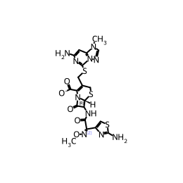 CO/N=C(\C(=O)NC1C(=O)N2C(C(=O)[O-])=C(CSc3nc(N)cc4n(C)cn[n+]34)CS[C@H]12)c1csc(N)n1